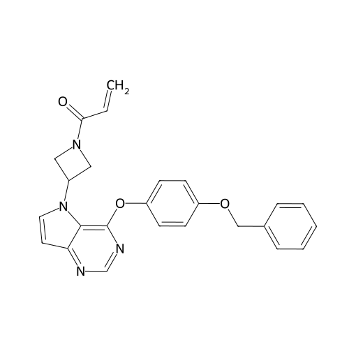 C=CC(=O)N1CC(n2ccc3ncnc(Oc4ccc(OCc5ccccc5)cc4)c32)C1